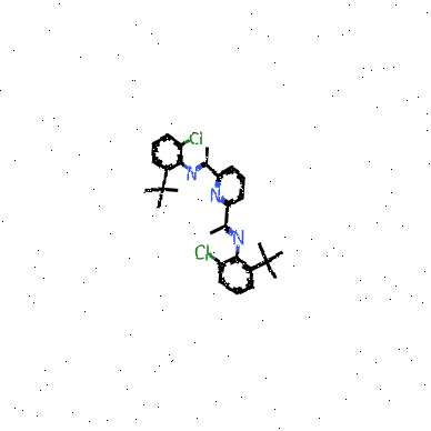 CC(=Nc1c(Cl)cccc1C(C)(C)C)c1cccc(C(C)=Nc2c(Cl)cccc2C(C)(C)C)n1